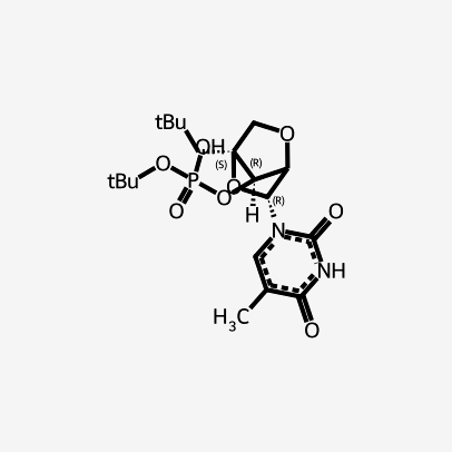 Cc1cn([C@@H]2O[C@@]3(CC(C)(C)C)COC2[C@H]3OP(=O)(O)OC(C)(C)C)c(=O)[nH]c1=O